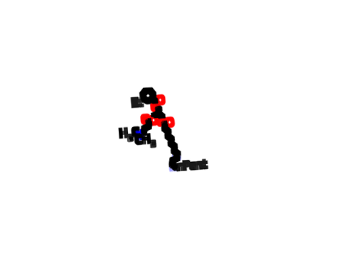 CCCCC/C=C\C/C=C\CCCCCCCC(=O)OCC(COC(=O)CCCN(C)C)COC(=O)C1CCCCC(CC)C1